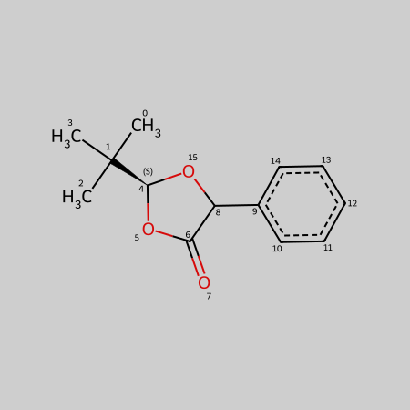 CC(C)(C)[C@@H]1OC(=O)C(c2ccccc2)O1